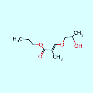 CCCOC(=O)C(C)=COCC(C)O